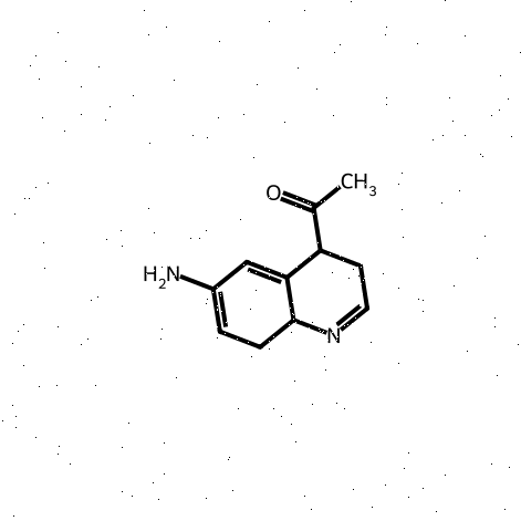 CC(=O)C1CC=NC2CC=C(N)C=C21